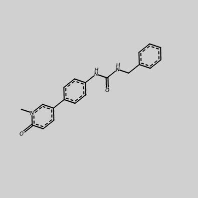 Cn1cc(-c2ccc(NC(=O)NCc3ccccc3)cc2)ccc1=O